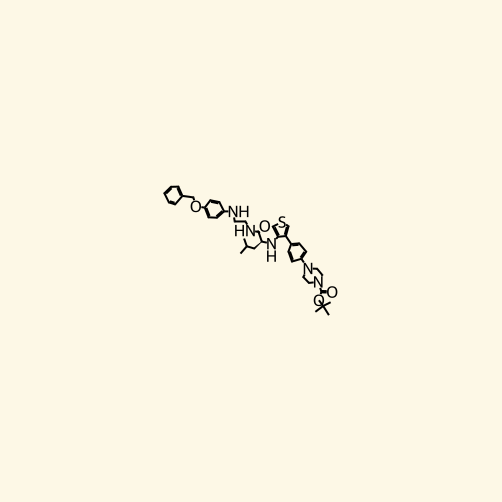 CC(C)C[C@H](Nc1cscc1-c1ccc(N2CCN(C(=O)OC(C)(C)C)CC2)cc1)C(=O)NCCNc1ccc(OCc2ccccc2)cc1